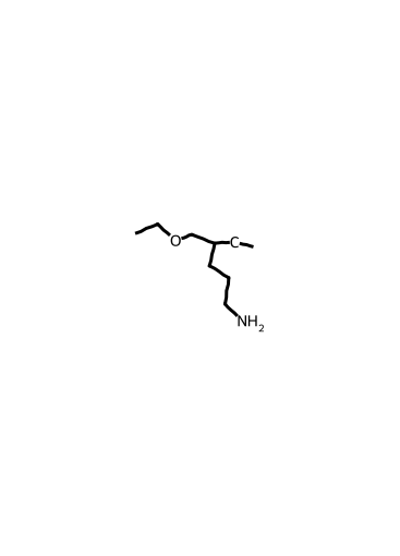 CCOCC(CC)CCCN